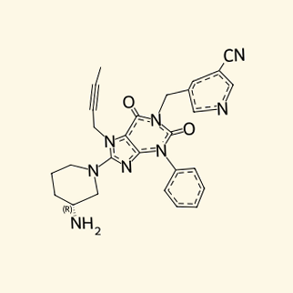 CC#CCn1c(N2CCC[C@@H](N)C2)nc2c1c(=O)n(Cc1cncc(C#N)c1)c(=O)n2-c1ccccc1